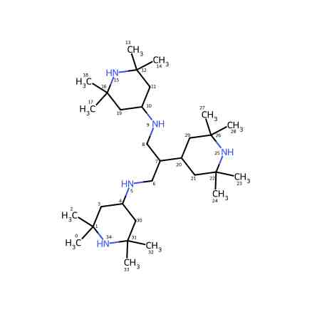 CC1(C)CC(NCC(CNC2CC(C)(C)NC(C)(C)C2)C2CC(C)(C)NC(C)(C)C2)CC(C)(C)N1